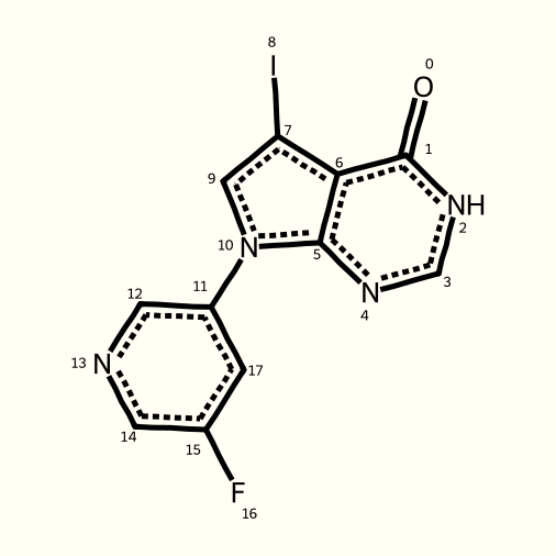 O=c1[nH]cnc2c1c(I)cn2-c1cncc(F)c1